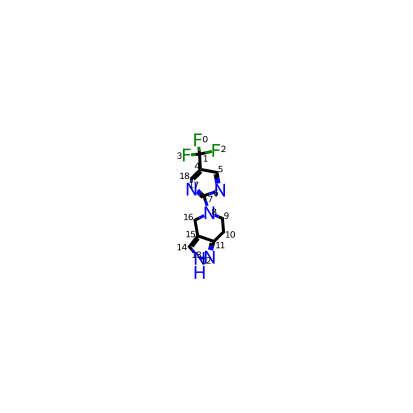 FC(F)(F)c1cnc(N2CCc3n[nH]cc3C2)nc1